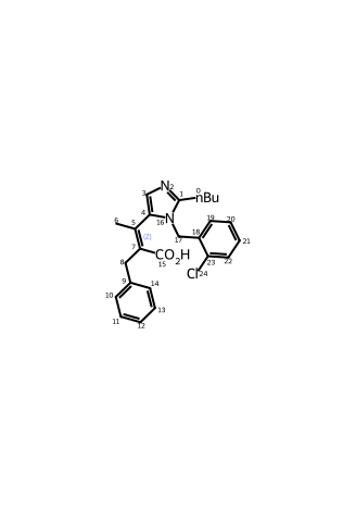 CCCCc1ncc(/C(C)=C(/Cc2ccccc2)C(=O)O)n1Cc1ccccc1Cl